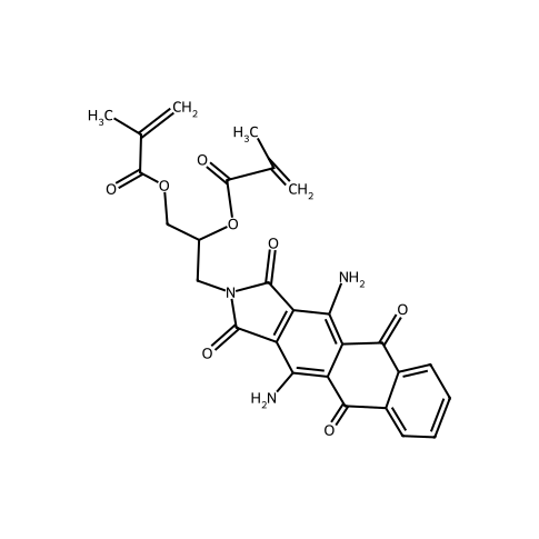 C=C(C)C(=O)OCC(Cn1c(=O)c2c(N)c3c(=O)c4ccccc4c(=O)c3c(N)c2c1=O)OC(=O)C(=C)C